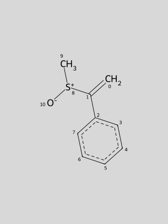 C=C(c1ccccc1)[S+](C)[O-]